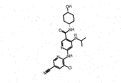 CC(C)Nc1cc(Nc2ncc(C#N)cc2Cl)ncc1C(=O)N[C@H]1CC[C@H](O)CC1